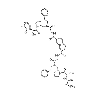 CN[C@@H](C)C(=O)N[C@H](C(=O)N1CCC[C@H]1CN(CCc1ccccc1)C(=O)CNC(=O)c1ccc2ccc(C(=O)NCC(=O)N(CCc3ccccc3)C[C@@H]3CCCN3C(=O)[C@@H](NC(=O)[C@H](C)N)C(C)(C)C)cc2c1)C(C)(C)C